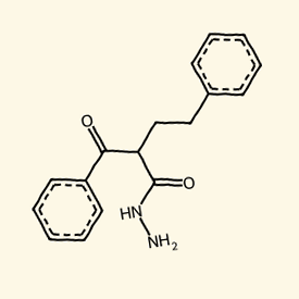 NNC(=O)C(CCc1ccccc1)C(=O)c1ccccc1